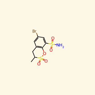 CC1Cc2cc(Br)cc(S(N)(=O)=O)c2OS1(=O)=O